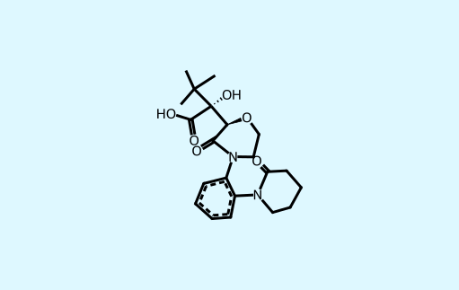 CC(C)(C)[C@](O)(C(=O)O)[C@H]1OCCN(c2ccccc2N2CCCCC2=O)C1=O